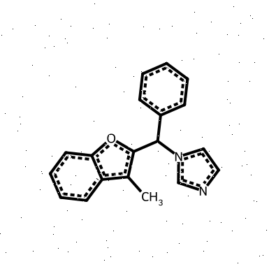 Cc1c(C(c2ccccc2)n2ccnc2)oc2ccccc12